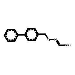 CCCCC=NOCc1ccc(-c2ccccc2)cc1